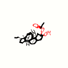 CC[C@H]1CC[C@H]2[C@@H]3CCC4CC(O)=C(OC(C)=O)C[C@]4(C)[C@H]3CC[C@]12C